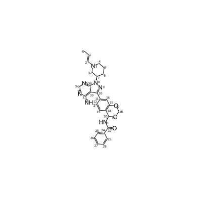 CC=CN1CCC[C@@H](n2nc(-c3ccc4c(c3)OCO[C@H]4NC(=O)c3ccccc3)c3c(N)ncnc32)C1